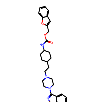 O=C(NC1CCC(CCN2CCN(c3nsc4ccccc34)CC2)CC1)OCc1cc2ccccc2o1